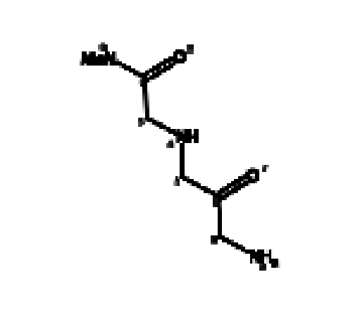 CNC(=O)CNCC(=O)CN